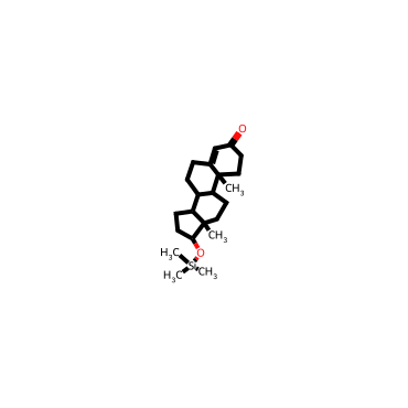 CC12CCC(=O)C=C1CCC1C2CCC2(C)C(O[Si](C)(C)C)CCC12